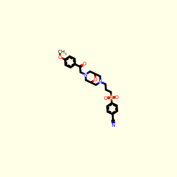 COc1ccc(C(=O)CN2CC3CN(CCCS(=O)(=O)c4ccc(C#N)cc4)CC(C2)O3)cc1